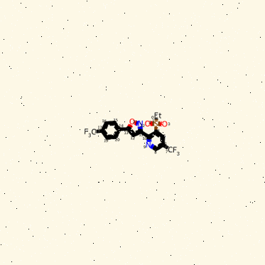 CCS(=O)(=O)c1cc(C(F)(F)F)cnc1-c1cc(-c2ccc(C(F)(F)F)cc2)on1